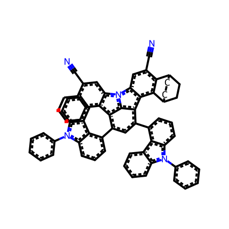 N#Cc1cc2c(c3c1C1CCC3CC1)c1c(-c3cccc4c3c3ccccc3n4-c3ccccc3)cc(-c3cccc4c3c3ccccc3n4-c3ccccc3)c3c4c5c(c(C#N)cc4n2c13)C1CCC5CC1